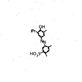 Cc1cc(C)c(S(=O)(=O)O)cc1/N=N/c1cc(C)c(O)c(C(C)C)c1